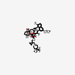 C#Cc1c(F)ccc2cc(OCOC)cc(-c3nc4c5c(nc(OCC6(CN7CCC(OC)(C(F)(F)F)CC7)CC6)nc5c3F)N3C[C@H]5CC[C@@H]([C@H]3CC4)N5C(=O)OC(C)(C)C)c12